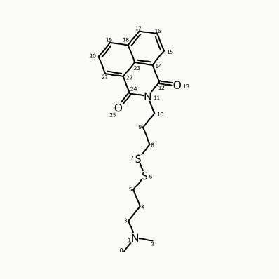 CN(C)CCCSSCCCN1C(=O)c2cccc3cccc(c23)C1=O